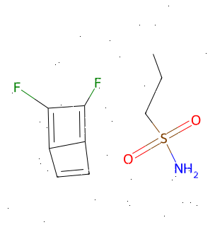 CCCS(N)(=O)=O.Fc1c2ccc-2c1F